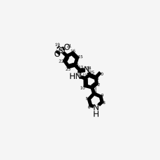 Cc1cc(C2CCNCC2)cc2[nH]c(-c3ccc(S(C)(=O)=O)cc3)nc12